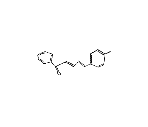 Cc1ccc(/C=C/C=C/C(=O)c2ccccc2)cc1